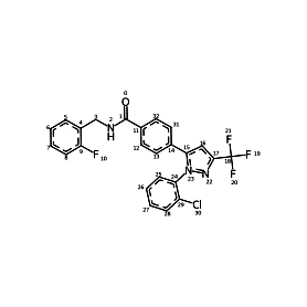 O=C(NCc1ccccc1F)c1ccc(-c2cc(C(F)(F)F)nn2-c2ccccc2Cl)cc1